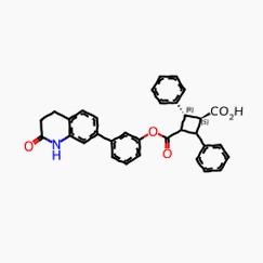 O=C1CCc2ccc(-c3cccc(OC(=O)C4C(c5ccccc5)[C@H](C(=O)O)[C@H]4c4ccccc4)c3)cc2N1